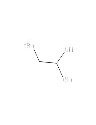 CCC(C)C(C#N)CC(C)(C)C